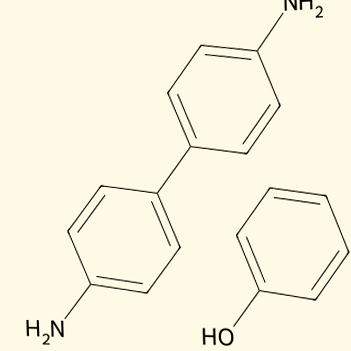 Nc1ccc(-c2ccc(N)cc2)cc1.Oc1ccccc1